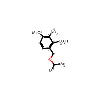 CCC(OCc1ccc(OC)c([N+](=O)[O-])c1C(=O)O)C(C)=O